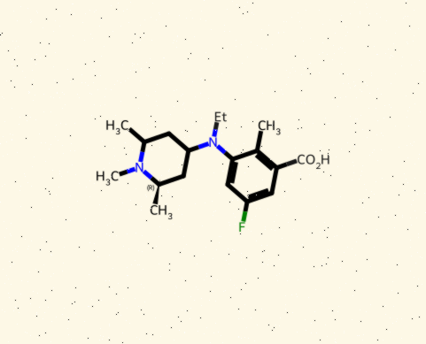 CCN(c1cc(F)cc(C(=O)O)c1C)C1CC(C)N(C)[C@H](C)C1